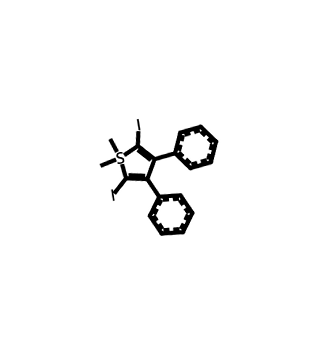 CS1(C)C(I)=C(c2ccccc2)C(c2ccccc2)=C1I